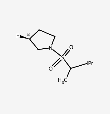 CC(C)C(C)S(=O)(=O)N1CC[C@H](F)C1